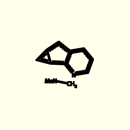 CNC.c1cnc2c3cc-3cc2c1